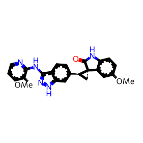 COc1ccc2c(c1)[C@]1(C[C@H]1c1ccc3c(Nc4ncccc4OC)n[nH]c3c1)C(=O)N2